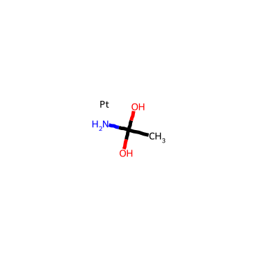 CC(N)(O)O.[Pt]